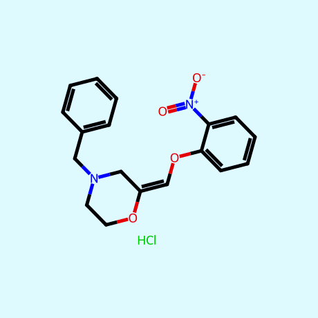 Cl.O=[N+]([O-])c1ccccc1OC=C1CN(Cc2ccccc2)CCO1